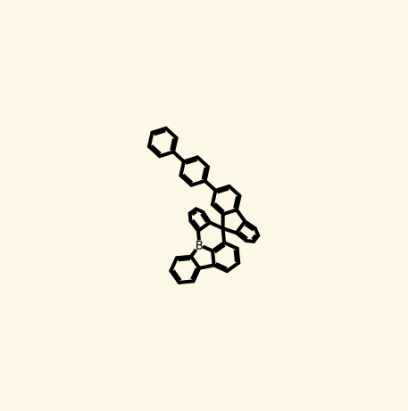 c1ccc(-c2ccc(-c3ccc4c(c3)C3(c5ccccc5B5c6ccccc6-c6cccc3c65)c3ccccc3-4)cc2)cc1